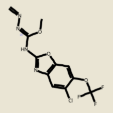 C=N/N=C(/Nc1nc2cc(Cl)c(OC(F)(F)F)cc2o1)OC